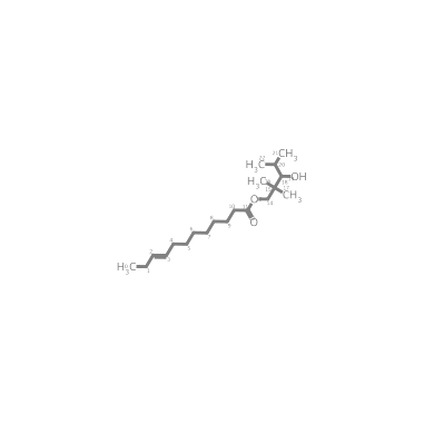 CC/C=C/CCCCCCCC(=O)OCC(C)(C)C(O)C(C)C